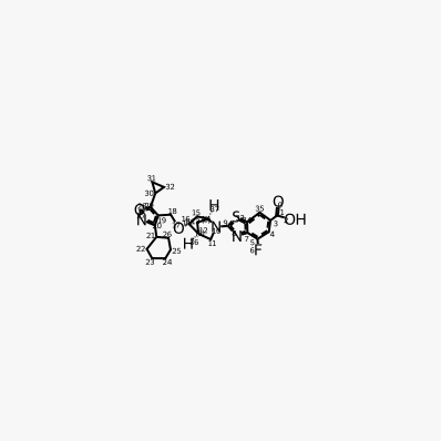 O=C(O)c1cc(F)c2nc(N3C[C@@H]4C[C@H]3C[C@H]4OCc3c(C4CCCCC4)noc3C3CC3)sc2c1